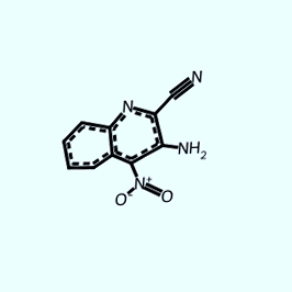 N#Cc1nc2ccccc2c([N+](=O)[O-])c1N